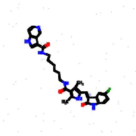 Cc1[nH]c(/C=C2\C(=O)Nc3ccc(F)cc32)c(C)c1C(=O)NCCCCCCNC(=O)c1c[nH]c2ccncc12